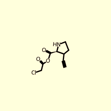 C#CC1CCN[C@@H]1C(=O)OC(=O)CCl